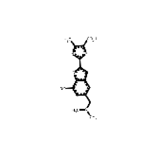 Cc1nc(-c2cc3cc(CN(C)C)cc(C#N)c3s2)sc1C(=O)O